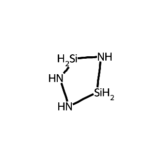 N1N[SiH2]N[SiH2]1